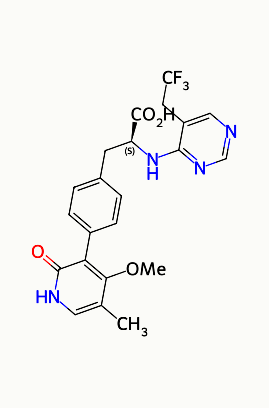 COc1c(C)c[nH]c(=O)c1-c1ccc(C[C@H](Nc2ncncc2CC(F)(F)F)C(=O)O)cc1